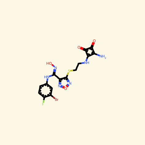 Nc1c(NCCSc2nonc2/C(=N/O)Nc2ccc(F)c(Br)c2)c(=O)c1=O